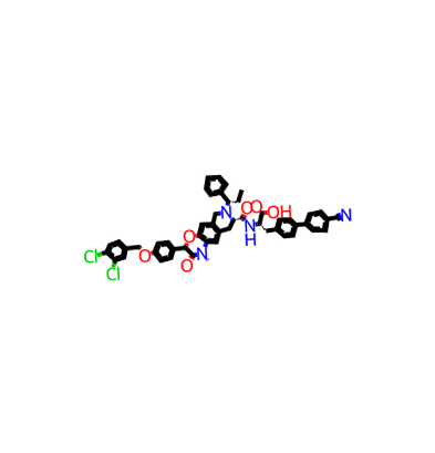 CC[C@@H](c1ccccc1)N1Cc2cc3c(cc2C[C@H]1C(=O)N[C@@H](Cc1ccc(-c2ccc(C#N)cc2)cc1)C(=O)O)N(C)C(=O)C(c1ccc(OCc2ccc(Cl)c(Cl)c2)cc1)O3